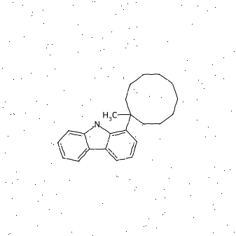 CC1(c2cccc3c2[N]c2ccccc2-3)CCCCCCCCC1